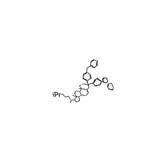 CC(C)CCCC(C)C1CCC2C3CCC4CC(c5ccc(Cc6ccccc6)cc5)(c5ccc(OC6=CC=CCC6)cc5)CCC4(C)C3CCC12C